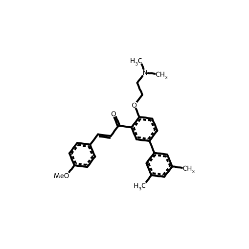 COc1ccc(C=CC(=O)c2cc(-c3cc(C)cc(C)c3)ccc2OCCN(C)C)cc1